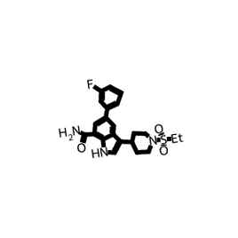 CCS(=O)(=O)N1CCC(c2c[nH]c3c(C(N)=O)cc(-c4cccc(F)c4)cc23)CC1